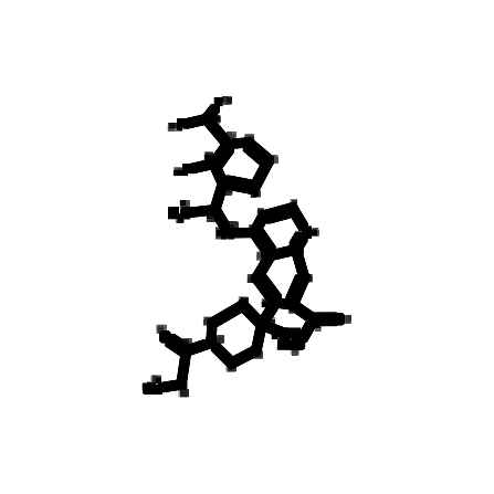 COC(=O)c1cc2nccc(NC(C)c3cccc(C(F)F)c3F)c2cc1C1(OC)CCN(C(=O)OC(C)(C)C)CC1